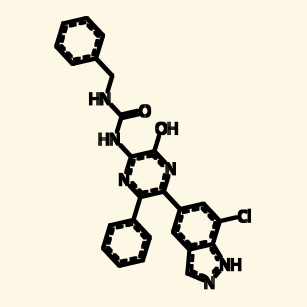 O=C(NCc1ccccc1)Nc1nc(-c2ccccc2)c(-c2cc(Cl)c3[nH]ncc3c2)nc1O